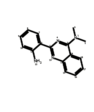 CN(C)c1nc(-c2ccccc2N)nc2ccccc12